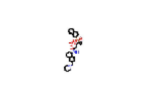 O=C(C[C@H](O)C1(S(=O)(=O)c2ccc3ccccc3c2)CC1)N[C@@H]1CCCc2cc(CN3CCCCC3)ccc21